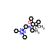 CC1(C)c2ccccc2-c2c1c1c3ccccc3n(-c3cccc(-c4nc(-c5ccccc5)nc(-c5ccccc5)n4)c3)c1c1oc3ccccc3c21